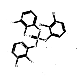 CCc1cccc(OP(=O)(Oc2cccc(CC)c2CC)Oc2cccc(CC)c2CC)c1CC